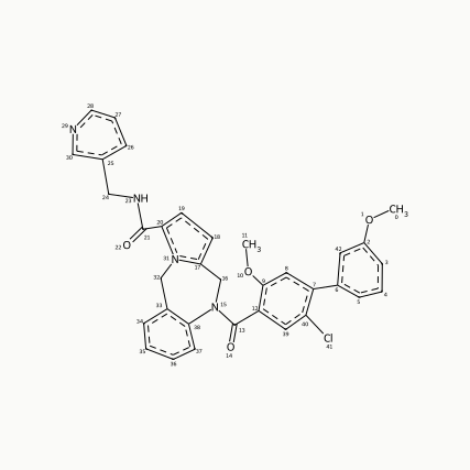 COc1cccc(-c2cc(OC)c(C(=O)N3Cc4ccc(C(=O)NCc5cccnc5)n4Cc4ccccc43)cc2Cl)c1